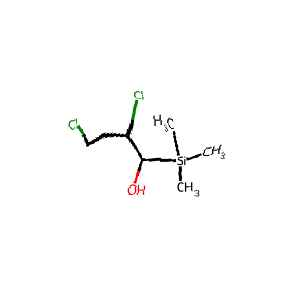 C[Si](C)(C)C(O)C(Cl)CCl